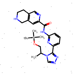 CC(CO[Si](C)(C)C(C)(C)C)n1cnnc1-c1cccc(NC(=O)c2cc3c(cn2)CCNC3)n1